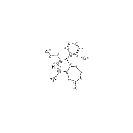 CN(C)C1CC(Cl)CCCC1N(C(=O)CCCl)c1ccccc1.Cl